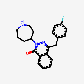 O=c1c2ccccc2c(Cc2ccc(F)cc2)nn1C1CCCNCC1